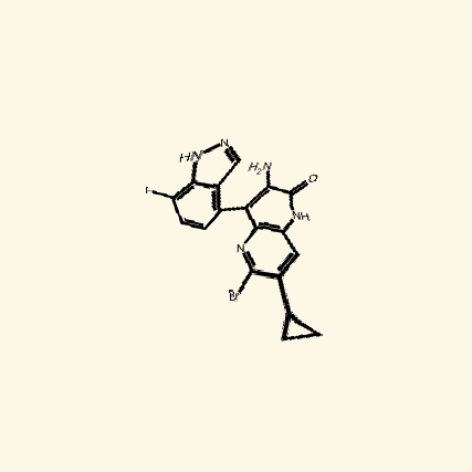 Nc1c(-c2ccc(F)c3[nH]ncc23)c2nc(Br)c(C3CC3)cc2[nH]c1=O